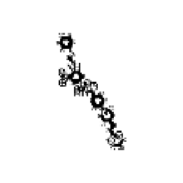 O=C(NS(=O)(=O)c1ccc(NCCSc2ccccc2)c([N+](=O)[O-])c1)c1ccc(N2CCC(=CCC3OCCCO3)CC2)cc1